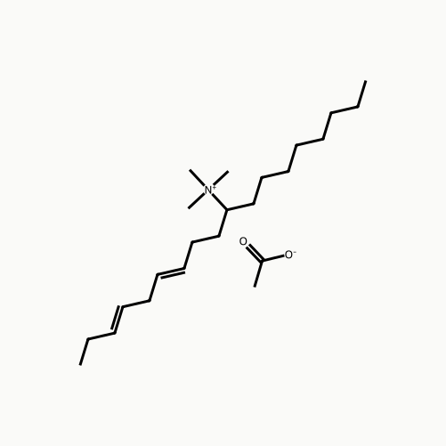 CC(=O)[O-].CCC=CCC=CCCC(CCCCCCCC)[N+](C)(C)C